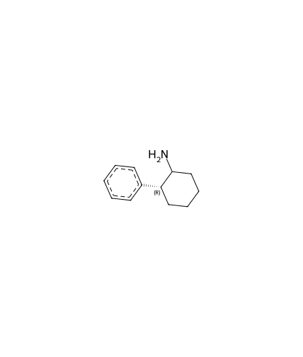 NC1CCCC[C@@H]1c1ccccc1